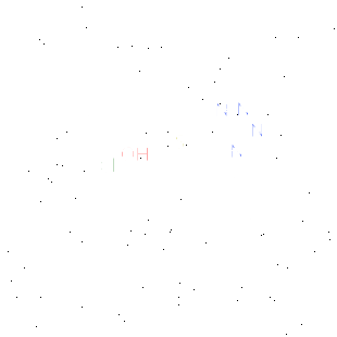 OC(CSc1nnnn1-c1cccc2ccccc12)Cc1ccccc1Cl